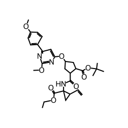 C=CC1CC1(NC(=O)C1CC(Oc2cc(-c3ccc(OC)cc3)nc(OC)n2)CC1C(=O)OC(C)(C)C)C(=O)OCC